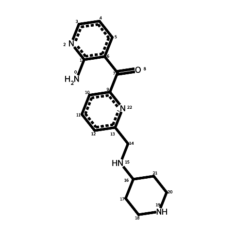 Nc1ncccc1C(=O)c1cccc(CNC2CCNCC2)n1